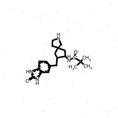 CC(C)(C)[S+]([O-])NC1CC2(CCNC2)CC1Cc1ccc2[nH]c(=O)[nH]c2c1